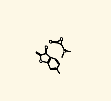 C=C1Oc2cc(C)ccc2C1=O.CN(C)C1OC1=O